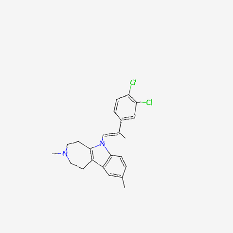 CC(=Cn1c2c(c3cc(C)ccc31)CCN(C)CC2)c1ccc(Cl)c(Cl)c1